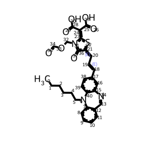 CCCCCCN1c2ccccc2C=Nc2cc(/C=C/C=c3/sc(=C(C(=O)O)C(=O)O)n(COC=O)c3=O)ccc21